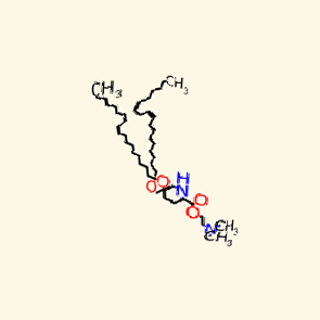 CCCCC/C=C\C/C=C\CCCCCCCCC1(CCCCCCCC/C=C\CCCCCCCC)OCC2(CCC(C(=O)OCCN(C)C)NC2)O1